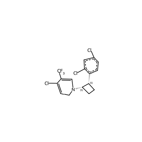 FC(F)(F)C1=CN([C@H]2CC[C@H]2c2ccc(Cl)cc2Cl)CC=C1Cl